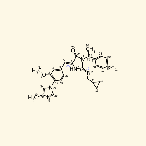 COc1cc(/C=C2\N/C(=N\CC3CC3)N([C@@H](C)c3ccc(F)cc3)C2=O)ccc1-n1cnc(C)c1